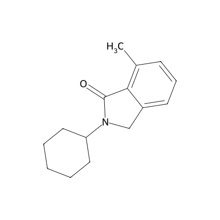 Cc1cccc2c1C(=O)N(C1CCCCC1)C2